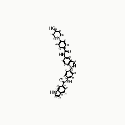 O=C(Nc1ccc2c(cnn2-c2ccc(NC(=O)c3ccc4cc[nH]c4c3)cc2)c1)c1ccc(N2CCC(O)CC2)cc1